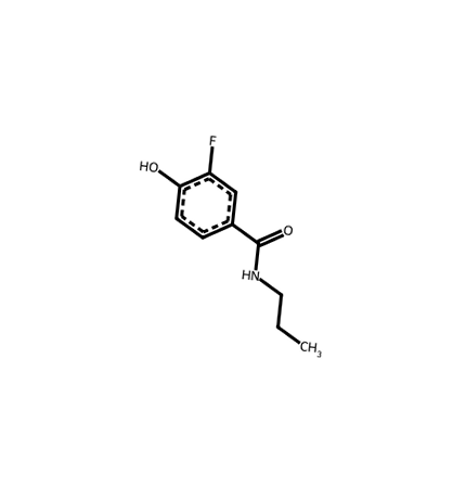 CCCNC(=O)c1ccc(O)c(F)c1